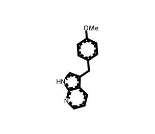 COc1ccc(Cc2c[nH]c3ncccc23)cc1